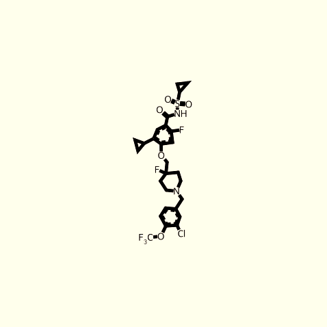 O=C(NS(=O)(=O)C1CC1)c1cc(C2CC2)c(OCC2(F)CCN(Cc3ccc(OC(F)(F)F)c(Cl)c3)CC2)cc1F